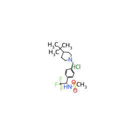 CC(C)(C)C1CCN(Cc2ccc([C@H](NS(C)(=O)=O)C(F)(F)F)cc2)CC1.Cl